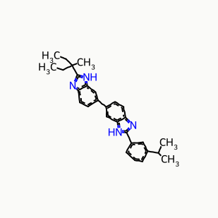 CCC(C)(CC)c1nc2ccc(-c3ccc4nc(-c5cccc(C(C)C)c5)[nH]c4c3)cc2[nH]1